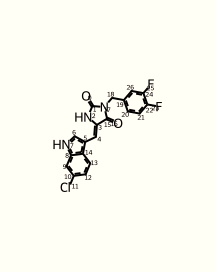 O=C1NC(=Cc2c[nH]c3cc(Cl)ccc23)C(=O)N1Cc1ccc(F)c(F)c1